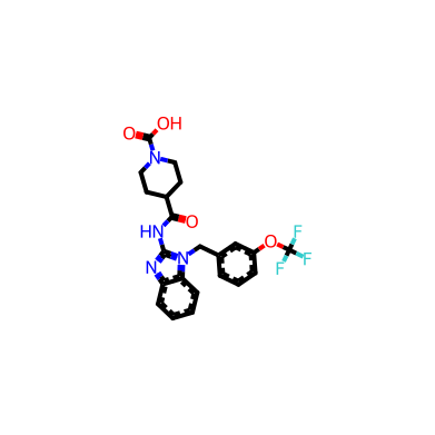 O=C(Nc1nc2ccccc2n1Cc1cccc(OC(F)(F)F)c1)C1CCN(C(=O)O)CC1